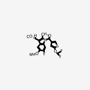 COc1cc2c(CC(=O)O)c(C)n(C(=O)c3csc(OC(F)F)c3)c2cc1F